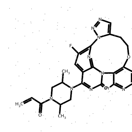 C=CC(=O)N1CC(C)N(c2nc(=O)n3c4nc(c(F)cc24)-n2nncc2CCOc2ccnc(C(C)C)c2-3)CC1C